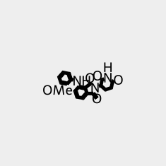 COc1ccccc1Nc1cccc2c1C(=O)N(C1CCC(=O)NC1=O)C2=O